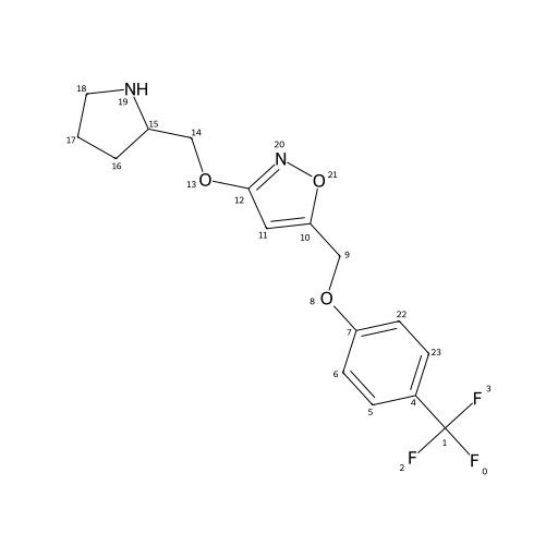 FC(F)(F)c1ccc(OCc2cc(OCC3CCCN3)no2)cc1